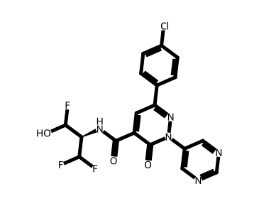 O=C(N[C@H](C(O)F)C(F)F)c1cc(-c2ccc(Cl)cc2)nn(-c2cncnc2)c1=O